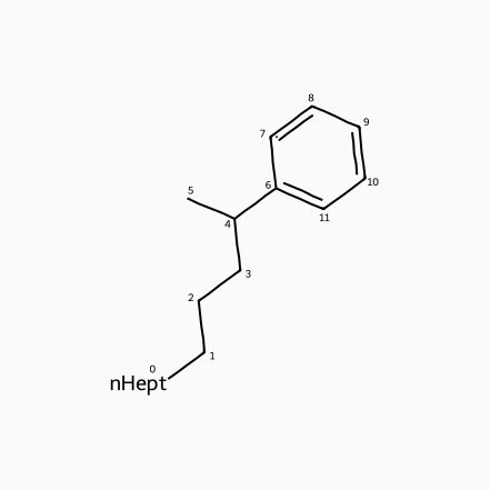 CCCCCCCCCCC(C)c1[c]cccc1